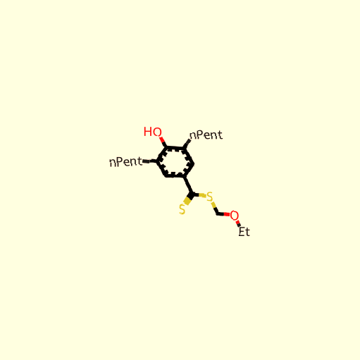 CCCCCc1cc(C(=S)SCOCC)cc(CCCCC)c1O